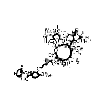 CC[C@H]1OC(=O)[C@H](C)[C@@H](O[C@H]2C[C@@](C)(OC)[C@@H](CC(C)=O)[C@H](C)O2)[C@H](C)[C@@H](O[C@@H]2O[C@H](C)C[C@H]3[C@H]2OC(C)(C)ON3C)[C@](C)(OC)C[C@@H](C)C(=O)[C@H](C)[C@@H](C)[C@]1(C)OC(=O)NCCCOc1cc(C(=O)Nc2c(Cl)cncc2Cl)ccc1OC